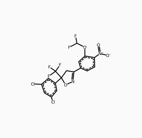 O=[N+]([O-])c1ccc(C2=NOC(c3cc(Cl)cc(Cl)c3)(C(F)(F)F)C2)cc1OC(F)F